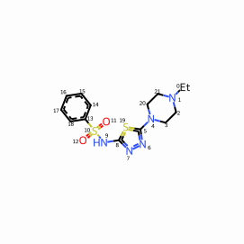 CCN1CCN(c2nnc(NS(=O)(=O)c3ccccc3)s2)CC1